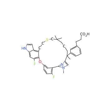 Cn1cc2nc1-c1cc(ccc1F)Oc1c(F)cc3[nH]ccc3c1CCSCC(C)(C)CCCC2(C)c1cccc(CCC(=O)O)c1